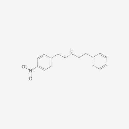 O=[N+]([O-])c1ccc(CCNCCc2ccccc2)cc1